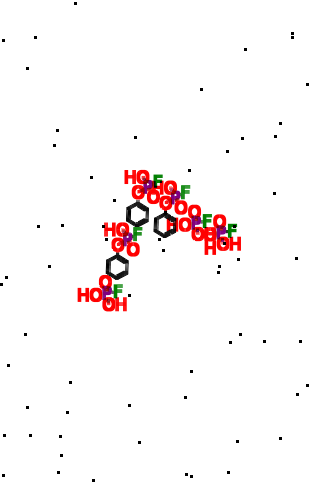 O=P(O)(F)Oc1ccccc1.O=P(O)(F)Oc1ccccc1.O=P(O)(F)Oc1ccccc1.O=P(O)(O)F.O=P(O)(O)F.O=P(O)(O)F